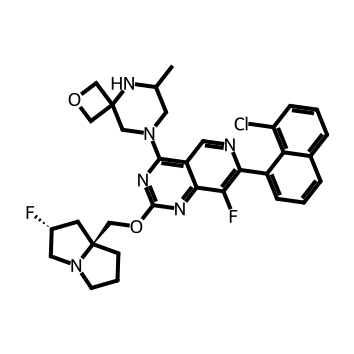 CC1CN(c2nc(OC[C@@]34CCCN3C[C@H](F)C4)nc3c(F)c(-c4cccc5cccc(Cl)c45)ncc23)CC2(COC2)N1